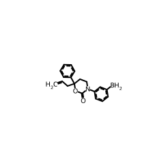 Bc1cccc(N2CCC(CC=C)(c3ccccc3)OC2=O)c1